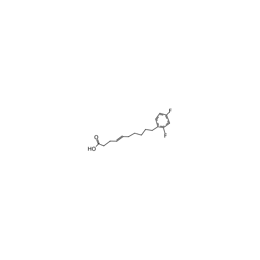 O=C(O)CCC=CCCCCCc1ccc(F)cc1F